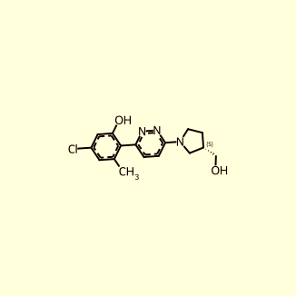 Cc1cc(Cl)cc(O)c1-c1ccc(N2CC[C@H](CO)C2)nn1